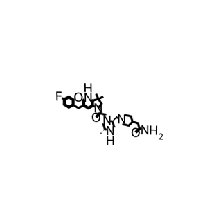 C[C@@H]1CN(CC(=O)N2CC(C)(C)c3[nH]c(=O)c(Cc4ccc(F)cc4)cc32)[C@@H](CN2CCC(CC(N)=O)CC2)CN1